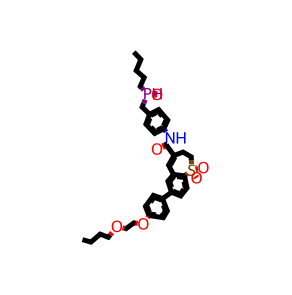 CCCCC[PH](=O)Cc1ccc(NC(=O)C2=Cc3cc(-c4ccc(OCCOCCCC)cc4)ccc3S(=O)(=O)CC2)cc1